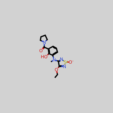 CCOc1n[s+]([O-])nc1N(C)c1cccc(C(=O)N2CCCC2)c1O